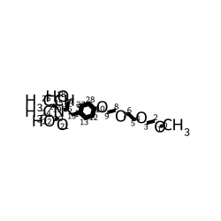 COCCOCCOCCOc1ccc(C[C@H](CO)N(C(=O)O)C(C)(C)C)cc1